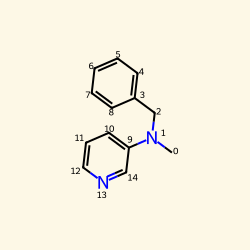 CN(Cc1ccccc1)c1cccnc1